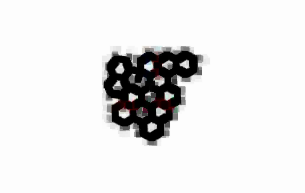 CC1(c2cccc3ccccc23)C=CC=CC1N(c1ccccc1-c1cccc2ccccc12)c1ccccc1-c1cccc2cccc(C3CCCCC3)c12